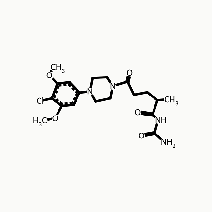 COc1cc(N2CCN(C(=O)CCC(C)C(=O)NC(N)=O)CC2)cc(OC)c1Cl